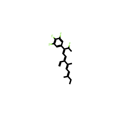 C=CC(=C\C=C(\c1cc(F)c(F)c(F)c1)C(C)F)/C(C)=C/C=C(\C)CC